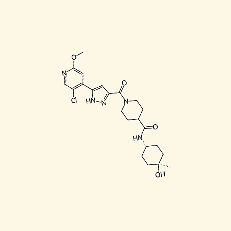 COc1cc(-c2cc(C(=O)N3CCC(C(=O)N[C@H]4CC[C@](C)(O)CC4)CC3)n[nH]2)c(Cl)cn1